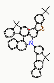 CC(C)(C)c1ccc2c(c1)sc1cc(N(c3ccc4c(c3)-c3cc5ccccc5cc3C4(C)C)c3ccc4ccccc4c3-c3cccc4c3-c3ccccc3C4(C)C)ccc12